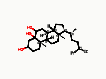 CC[C@H](CC[C@@H](C)[C@H]1CC[C@H]2[C@@H]3CC(O)C4(O)CC(O)CC[C@]4(C)[C@H]3CC[C@]12C)C(C)C